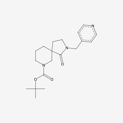 CC(C)(C)OC(=O)N1CCCC2(CCN(Cc3ccncc3)C2=O)C1